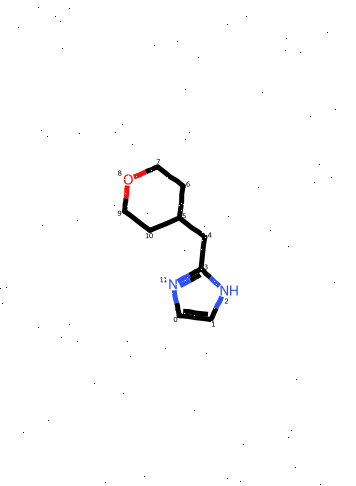 c1c[nH]c(CC2CCOCC2)n1